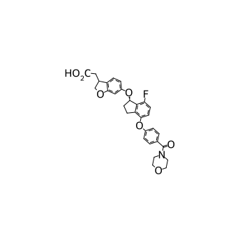 O=C(O)CC1COc2cc(O[C@@H]3CCc4c(Oc5ccc(C(=O)N6CCOCC6)cc5)ccc(F)c43)ccc21